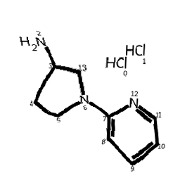 Cl.Cl.NC1CCN(c2ccccn2)C1